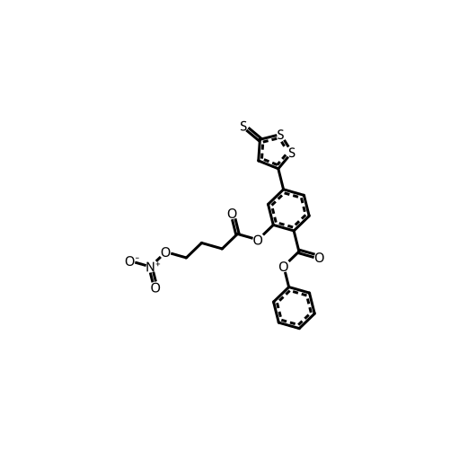 O=C(CCCO[N+](=O)[O-])Oc1cc(-c2cc(=S)ss2)ccc1C(=O)Oc1ccccc1